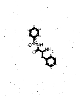 NC(Cc1ccccc1)C(=O)N[S+]([O-])c1ccccc1